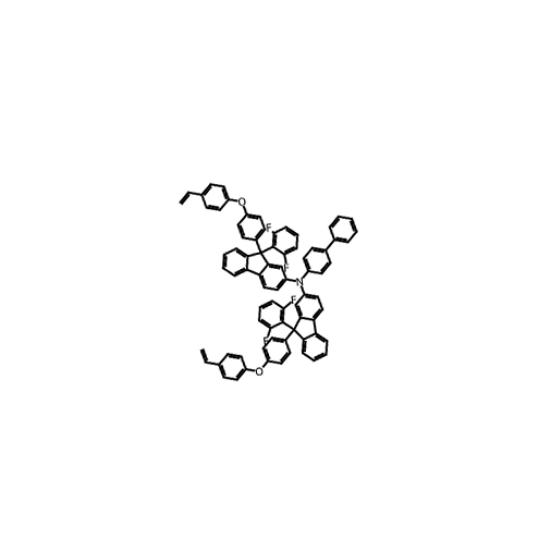 C=Cc1ccc(Oc2ccc(C3(c4c(F)cccc4F)c4ccccc4-c4ccc(N(c5ccc(-c6ccccc6)cc5)c5ccc6c(c5)C(c5ccc(Oc7ccc(C=C)cc7)cc5)(c5c(F)cccc5F)c5ccccc5-6)cc43)cc2)cc1